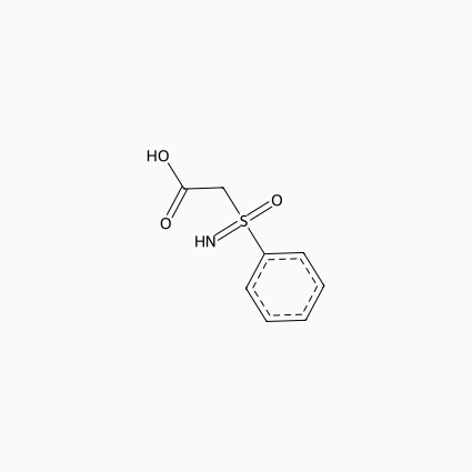 N=S(=O)(CC(=O)O)c1ccccc1